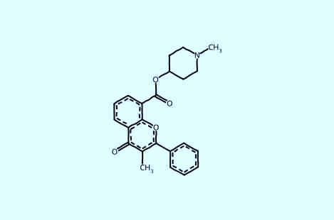 Cc1c(-c2ccccc2)oc2c(C(=O)OC3CCN(C)CC3)cccc2c1=O